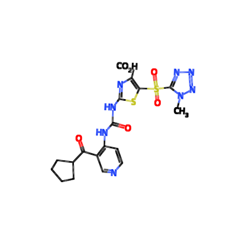 Cn1nnnc1S(=O)(=O)c1sc(NC(=O)Nc2ccncc2C(=O)C2CCCC2)nc1C(=O)O